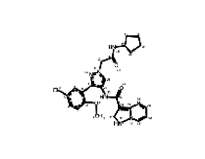 COc1ccc(Cl)cc1-c1nn(CC(=O)NC2CCCC2)cc1NC(=O)C1=C2N=CC=CN2NC1